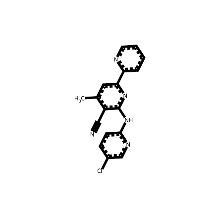 Cc1cc(-c2ccccn2)nc(Nc2ccc(Cl)cn2)c1C#N